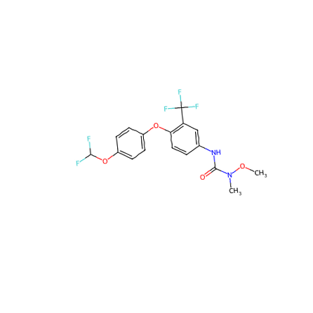 CON(C)C(=O)Nc1ccc(Oc2ccc(OC(F)F)cc2)c(C(F)(F)F)c1